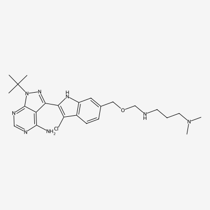 CN(C)CCCNCOCc1ccc2c(Cl)c(-c3nn(C(C)(C)C)c4ncnc(N)c34)[nH]c2c1